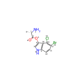 C[C@H](N)C(=O)Oc1c[nH]c2ccc(Br)c(Cl)c12